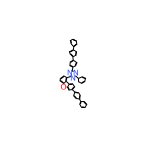 C1=CCC(c2nc(-c3ccc(-c4ccc(-c5ccccc5)cc4)cc3)nc(-c3cccc4oc5cc(-c6ccc(-c7ccccc7)cc6)ccc5c34)n2)C=C1